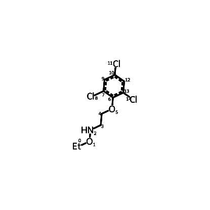 CCONCCOc1c(Cl)cc(Cl)cc1Cl